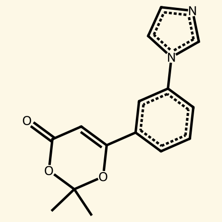 CC1(C)OC(=O)C=C(c2cccc(-n3ccnc3)c2)O1